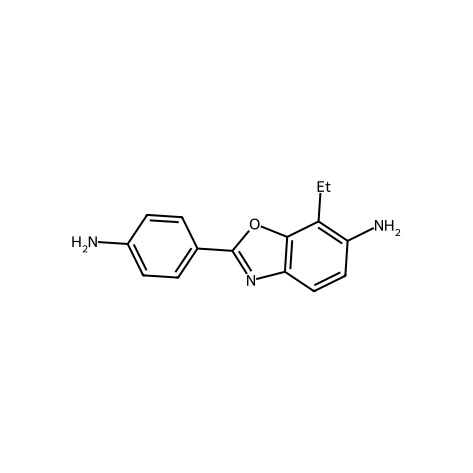 CCc1c(N)ccc2nc(-c3ccc(N)cc3)oc12